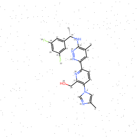 Cc1cn(-c2ccc(-c3cc(C)c(N[C@@H](C)c4cc(F)cc(F)c4)nn3)nc2CO)cn1